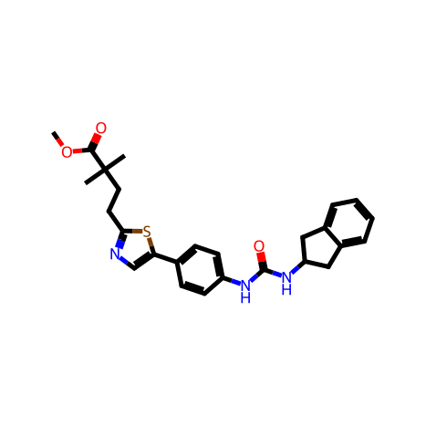 COC(=O)C(C)(C)CCc1ncc(-c2ccc(NC(=O)NC3Cc4ccccc4C3)cc2)s1